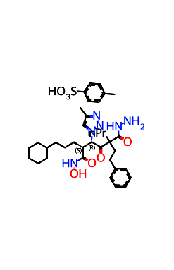 CCCC(CCc1ccccc1)(C(=O)NN)C(=O)[C@@H]([C@H](CCCC1CCCCC1)C(=O)NO)n1cc(C)nn1.Cc1ccc(S(=O)(=O)O)cc1